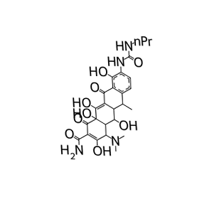 CCCNC(=O)Nc1ccc2c(c1O)C(=O)C1=C(O)C3(O)C(=O)C(C(N)=O)=C(O)C(N(C)C)C3C(O)C1C2C